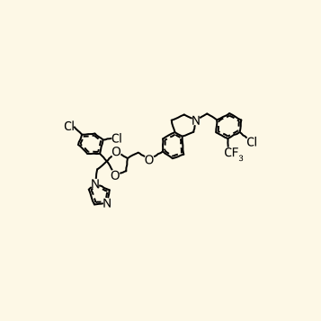 FC(F)(F)c1cc(CN2CCc3cc(OCC4COC(Cn5ccnc5)(c5ccc(Cl)cc5Cl)O4)ccc3C2)ccc1Cl